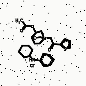 CC(=O)OC1C[N+]2(CC(=O)c3cccs3)CCC1CC2.[Cl-].c1ccc(NC2CCCCC2)cc1